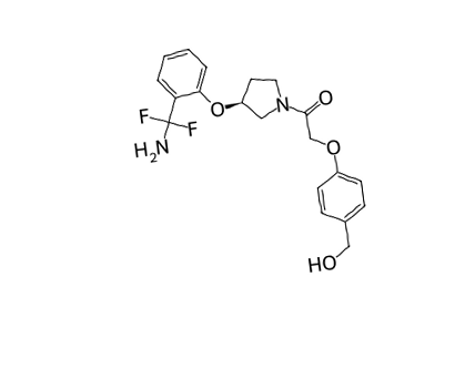 NC(F)(F)c1ccccc1O[C@H]1CCN(C(=O)COc2ccc(CO)cc2)C1